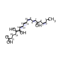 CC/C=C\C[C@@H](O)/C=C/C=C\C=C\C=C\[C@@H](O)[C@@H](O)CCCC(=O)O